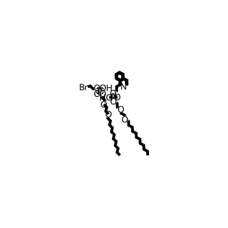 CCCCCCCCCCCCOCCOCCOP(=O)(O)OCCBr.CCCCCCCCCCCCOCCOCCOP(=O)(O)OCCc1nccc2ccccc12